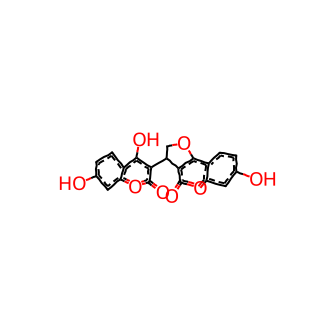 O=c1oc2cc(O)ccc2c(O)c1C1COc2c1c(=O)oc1cc(O)ccc21